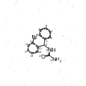 NC(=O)NC(c1ccccc1)c1ccccc1Br